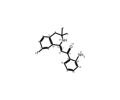 CC1(C)Cc2ccc(F)cc2/C(=C/C(=O)c2ccccc2N)N1